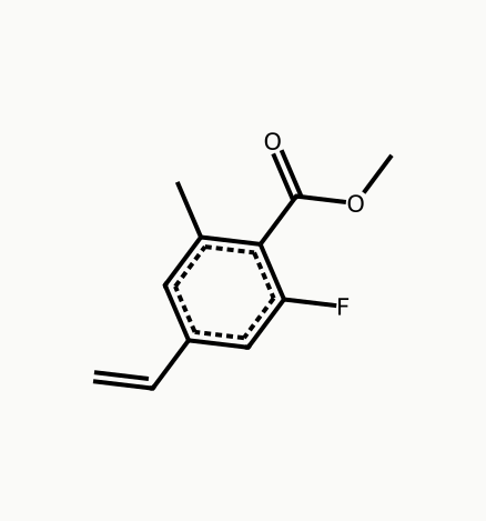 C=Cc1cc(C)c(C(=O)OC)c(F)c1